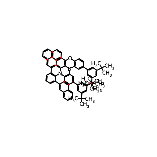 CC(C)(C)c1cc(-c2ccc3c(c2)B2c4cc(-c5cc(C(C)(C)C)cc(C(C)(C)C)c5)ccc4N(c4c(-c5ccc6ccccc6c5)cccc4-c4ccc5ccccc5c4)c4cc(-c5ccccc5)cc(c42)O3)cc(C(C)(C)C)c1